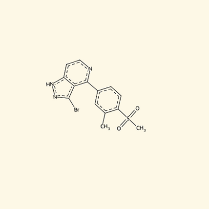 Cc1cc(-c2nccc3[nH]nc(Br)c23)ccc1S(C)(=O)=O